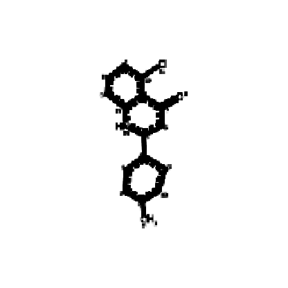 Cc1ccc(-c2cc(=O)c3c(Cl)cccc3[nH]2)cc1